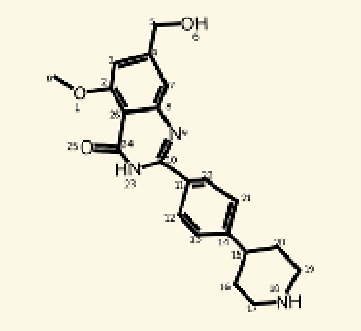 COc1cc(CO)cc2nc(-c3ccc(C4CCNCC4)cc3)[nH]c(=O)c12